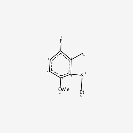 CCSc1c(OC)ccc(F)c1C